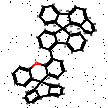 c1ccc2c(c1)Oc1c(-c3cccc4c3-c3ccccc3C43c4ccccc4-c4ccc5ccccc5c43)cccc1C21c2ccccc2-c2ccccc21